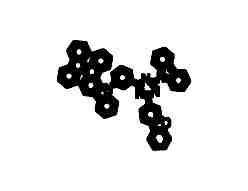 C1=Cc2c(oc3cc(-c4nc(-c5cccc(-n6c7ccccc7c7ccc8c(c76)-c6ccccc6C86c7ccccc7-c7ccccc76)c5)nc(-n5c6ccccc6c6ccccc65)n4)ccc23)CC1